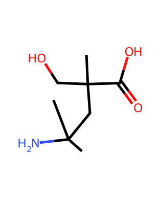 CC(C)(N)CC(C)(CO)C(=O)O